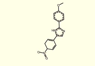 COc1ccc(-c2ncc(C3=CCC([N+](=O)[O-])C=C3)[nH]2)cc1